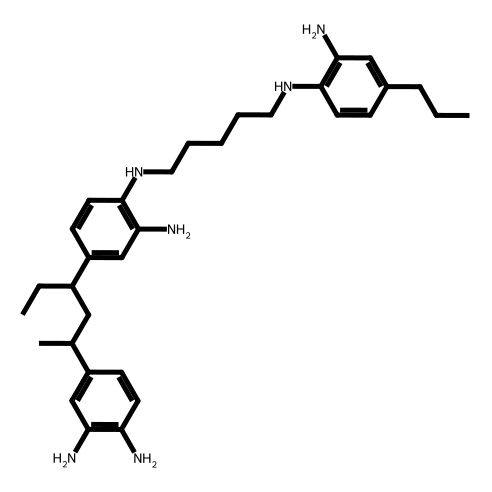 CCCc1ccc(NCCCCCNc2ccc(C(CC)CC(C)c3ccc(N)c(N)c3)cc2N)c(N)c1